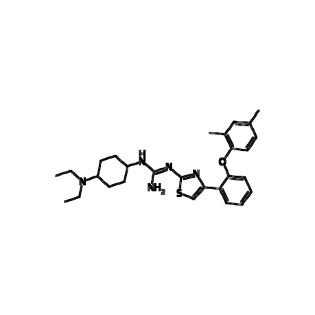 CCN(CC)C1CCC(N/C(N)=N/c2nc(-c3ccccc3Oc3ccc(C)cc3C)cs2)CC1